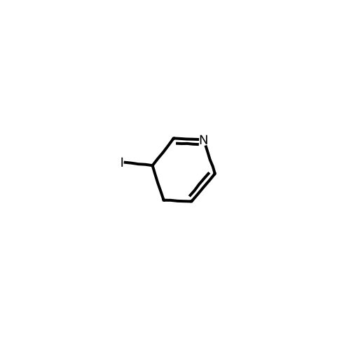 IC1C=NC=CC1